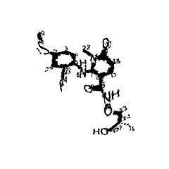 CSc1ccc(Nc2c(C(=O)NOC[C@H](C)O)ccc(=O)n2C)c(F)c1